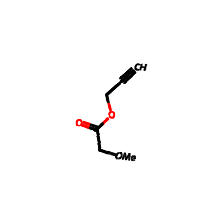 C#CCOC(=O)COC